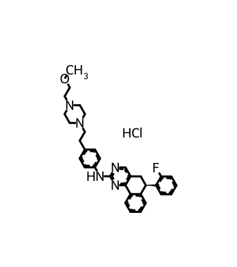 COCCN1CCN(CCc2ccc(Nc3ncc4c(n3)-c3ccccc3[C@H](c3ccccc3F)C4)cc2)CC1.Cl